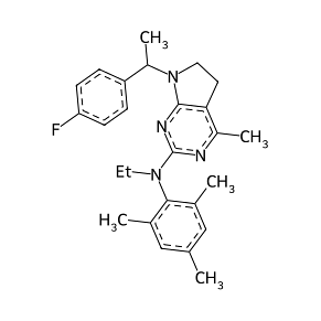 CCN(c1nc(C)c2c(n1)N(C(C)c1ccc(F)cc1)CC2)c1c(C)cc(C)cc1C